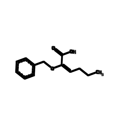 CCC/C=C(/OCc1ccccc1)C(=O)O